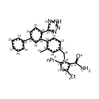 CCCc1nc(CC)c(C(N)=O)n1Cc1ccc(-c2cc(-c3ccccc3)ccc2-c2nn[nH]n2)c(C)c1